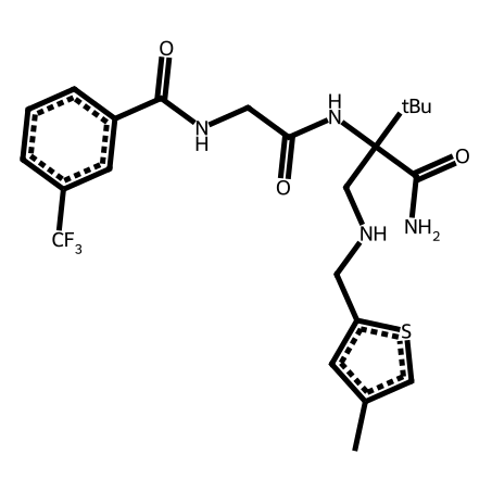 Cc1csc(CNCC(NC(=O)CNC(=O)c2cccc(C(F)(F)F)c2)(C(N)=O)C(C)(C)C)c1